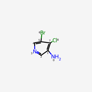 Nc1cncc(Br)c1Cl